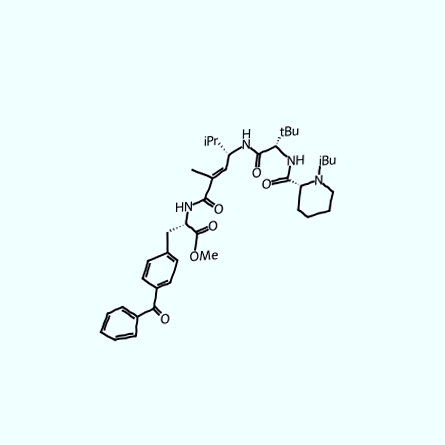 CCC(C)N1CCCC[C@@H]1C(=O)N[C@H](C(=O)N[C@H](/C=C(\C)C(=O)N[C@@H](Cc1ccc(C(=O)c2ccccc2)cc1)C(=O)OC)C(C)C)C(C)(C)C